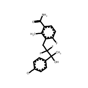 Cc1c(C(N)=O)ccc(F)c1CC(F)(F)C(C)(O)c1ccc(Cl)cc1